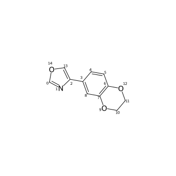 c1nc(-c2ccc3c(c2)OCCO3)co1